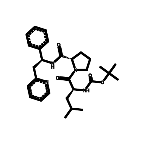 CC(C)C[C@H](NC(=O)OC(C)(C)C)C(=O)N1CCC[C@H]1C(=O)N[C@@H](Cc1ccccn1)c1ccccc1